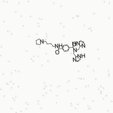 O=C(NCCCCN1CCCC1)c1ccc(C(=O)N(Cc2ncc[nH]2)Cc2ncc[nH]2)cc1